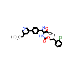 Cc1onc(-c2ccc(-c3cncc(CC(=O)O)c3)cc2)c1NC(=O)OCCc1ccccc1Cl